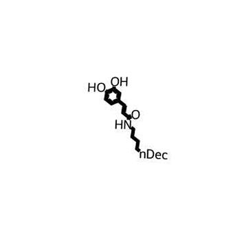 CCCCCCCCCCCCCCNC(=O)C=Cc1ccc(O)c(O)c1